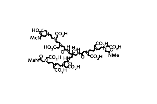 CNC(=O)CN(CCN(CCN(CC(=O)O)CC(=O)NCC(C)(CNC(=O)CN(CCN(CCN(CC(=O)O)CC(=O)NC)CC(=O)O)CC(=O)O)CNC(=O)CN(CCN(CCN(CC(=O)O)CC(=O)NC)CC(=O)O)CC(=O)O)CC(=O)O)CC(=O)O